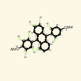 COc1cc(F)c(-c2c3cc(F)c(F)cc3c(-c3c(F)c(F)c(OC)c(F)c3F)c3c(F)cccc23)c(F)c1